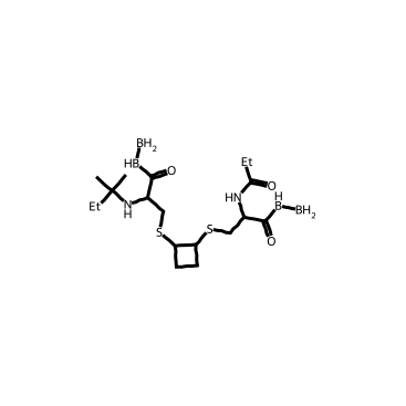 BBC(=O)C(CSC1CCC1SCC(NC(C)(C)CC)C(=O)BB)NC(=O)CC